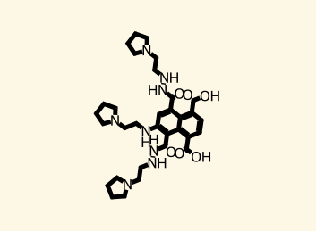 O=C(O)c1ccc(C(=O)O)c2c(C(=O)NNCCN3CCCC3)c(NCCN3CCCC3)cc(C(=O)NNCCN3CCCC3)c12